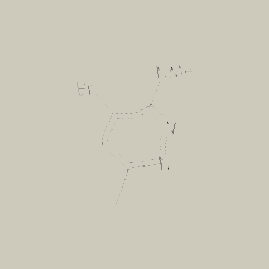 CNc1nnc(C)cc1Br